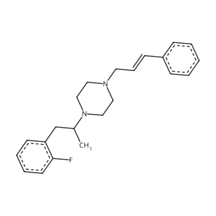 CC(Cc1ccccc1F)N1CCN(CC=Cc2ccccc2)CC1